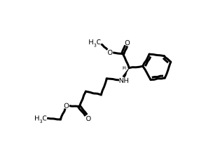 CCOC(=O)CCCN[C@@H](C(=O)OC)c1ccccc1